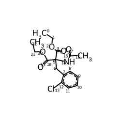 CCOC(=O)C(Cc1ccccc1Cl)(NC(C)=O)C(=O)OCC